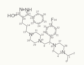 CC(C)N1CCN(C(CN2CCN(CCCc3c(O)n[nH]c3-c3ccccc3)CC2)c2ccc(F)cc2)CC1